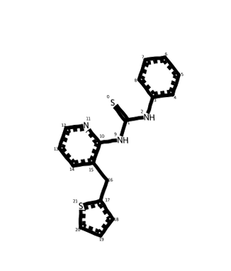 S=C(Nc1ccccc1)Nc1ncccc1Cc1cccs1